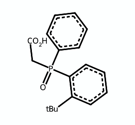 CC(C)(C)c1ccccc1P(=O)(CC(=O)O)c1ccccc1